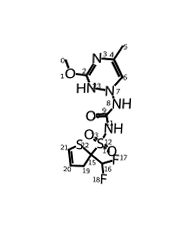 COC1=NC(C)=CN(NC(=O)NS(=O)(=O)C2(C(F)F)CC=CS2)N1